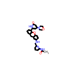 CC(=O)Nc1cccc(CNc2ccc3c(c2)Cc2cccc(-c4cc(N5CCOCC5)cc(=O)[nH]4)c2O3)n1